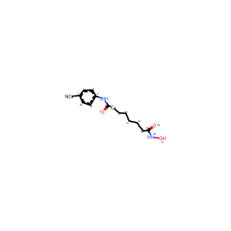 N#Cc1ccc(NC(=O)CCCCCCC(=O)NO)cc1